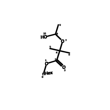 CCCCCCOC(=O)C(C)(C)OC(C)O